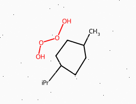 CC1CCC(C(C)C)CC1.OOOO